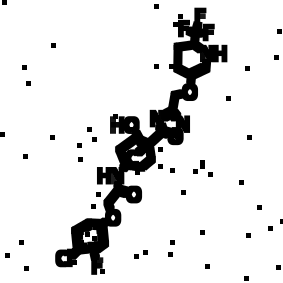 O=C(COc1ccc(Cl)c(F)c1)NC12CCC(c3nc(COC4=CNC(C(F)(F)F)CC4)no3)(CC1)C(O)C2